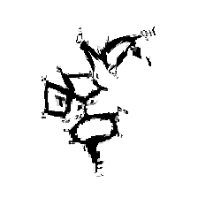 O=C(c1cc(O)no1)N1C[C@@H](c2ccc(F)cc2F)C2(CCC2)C1